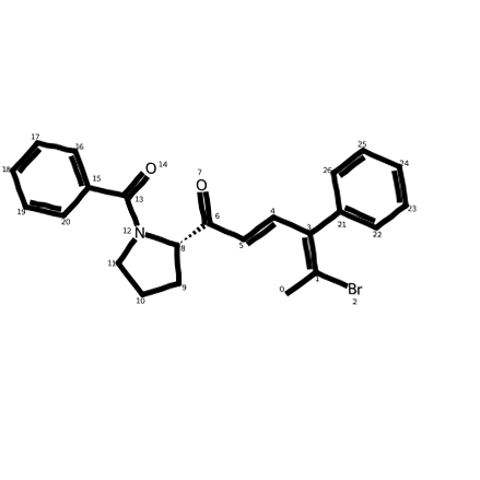 CC(Br)=C(C=CC(=O)[C@@H]1CCCN1C(=O)c1ccccc1)c1ccccc1